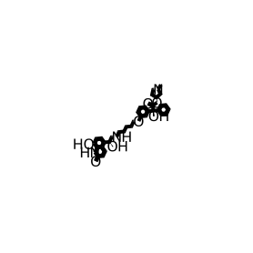 CN1CC[C@@H](OC(=O)[C@](O)(c2ccccc2)c2cccc(OCCCCCNC[C@H](O)c3ccc(O)c4[nH]c(=O)ccc34)c2)C1